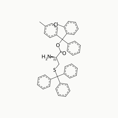 Cc1ccc(C(OC(=O)[C@H](N)CSC(c2ccccc2)(c2ccccc2)c2ccccc2)(c2ccccc2)c2ccccc2Cl)cc1